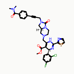 COC(=O)C1=C(CN2CCN3C(=O)N(CC#Cc4ccc(C(=O)N(C)C)cc4)C[C@@H]3C2)NC(c2nccs2)=N[C@H]1c1ccc(F)cc1Cl